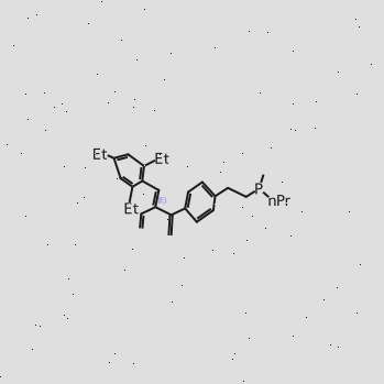 C=C/C(=C\c1c(CC)cc(CC)cc1CC)C(=C)c1ccc(CCP(C)CCC)cc1